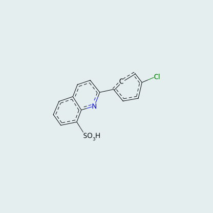 O=S(=O)(O)c1cccc2ccc(-c3ccc(Cl)cc3)nc12